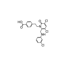 O=C(O)c1ccc(CCn2c(CNc3cccc(Cl)c3)c(Cl)cc(Cl)c2=O)cc1